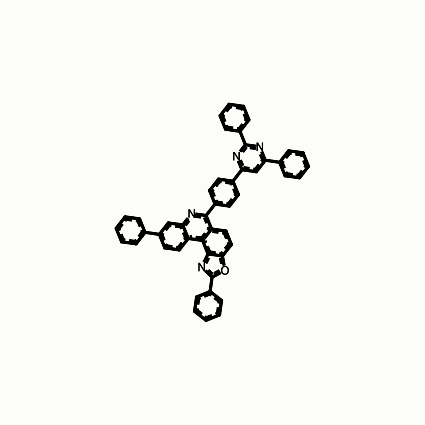 c1ccc(-c2ccc3c(c2)nc(-c2ccc(-c4cc(-c5ccccc5)nc(-c5ccccc5)n4)cc2)c2ccc4oc(-c5ccccc5)nc4c23)cc1